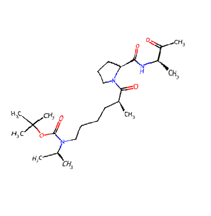 CC(=O)[C@@H](C)NC(=O)[C@@H]1CCCN1C(=O)[C@@H](C)CCCCN(C(=O)OC(C)(C)C)C(C)C